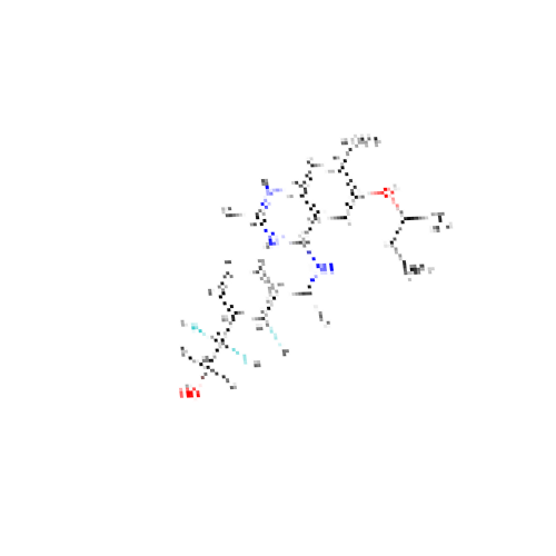 COCC(Oc1cc2c(N[C@H](C)c3cccc(C(F)(F)C(C)(C)O)c3F)nc(C)nc2cc1OC)C(F)(F)F